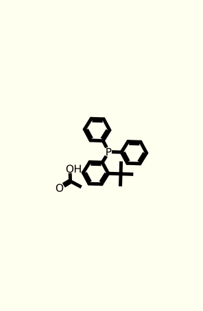 CC(=O)O.CC(C)(C)c1ccccc1P(c1ccccc1)c1ccccc1